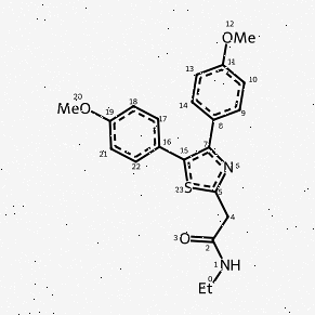 CCNC(=O)Cc1nc(-c2ccc(OC)cc2)c(-c2ccc(OC)cc2)s1